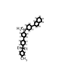 CCC(CC)(c1ccc(C)cc1)c1ccc(-c2ccc(N(C)c3ccc(-c4ccc5ccccc5c4)cc3)cc2)cc1